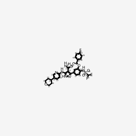 C[C@H](Oc1cc(-c2n[nH]c(Nc3ccc(C4CCOCC4)cn3)c2C(N)=O)ccc1NS(=O)(=O)C(F)F)c1ccc(F)cc1